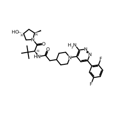 C[C@@H]1C[C@@H](O)CN1C(=O)[C@@H](NC(=O)CC1CCN(c2cc(-c3cc(F)ccc3F)nnc2N)CC1)C(C)(C)C